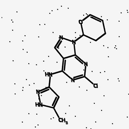 Cc1cc(Nc2nc(Cl)nc3c2cnn3C2CCC=CO2)n[nH]1